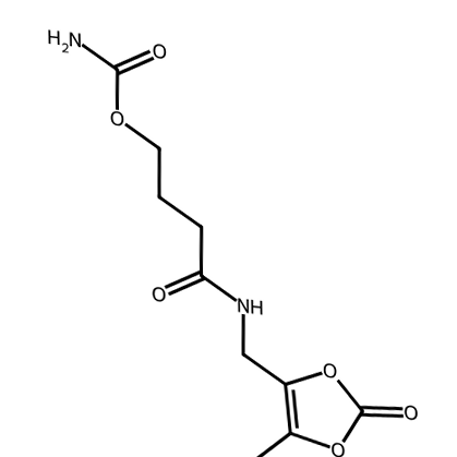 Cc1oc(=O)oc1CNC(=O)CCCOC(N)=O